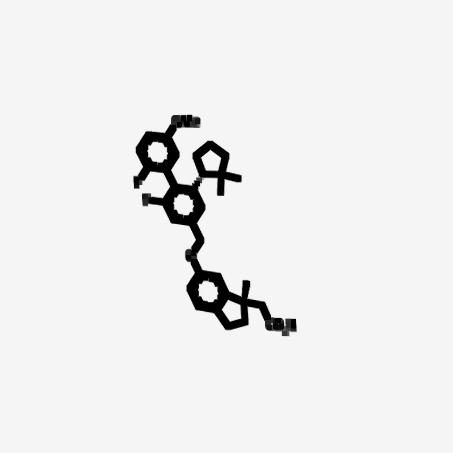 COc1ccc(F)c(-c2c(F)cc(COc3ccc4c(c3)[C@](C)(CC(=O)O)CC4)cc2[C@@H]2CCCC2(C)C)c1